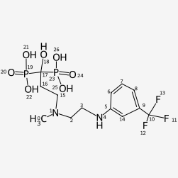 CN(CCNc1cccc(C(F)(F)F)c1)CCC(O)(P(=O)(O)O)P(=O)(O)O